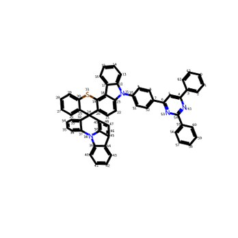 c1ccc(-c2cc(-c3ccc(-n4c5ccccc5c5c6c(ccc54)C4(c5ccccc5S6)c5ccccc5-n5c6ccccc6c6cccc4c65)cc3)nc(-c3ccccc3)n2)cc1